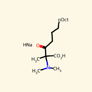 CCCCCCCCCCCC(=O)C(C)(C(=O)O)N(C)C.[NaH]